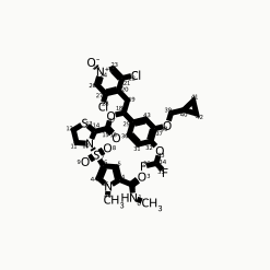 CNC(=O)c1cc(S(=O)(=O)N2CCSC2C(=O)OC(Cc2c(Cl)c[n+]([O-])cc2Cl)c2ccc(OC(F)F)c(OCC3CC3)c2)cn1C